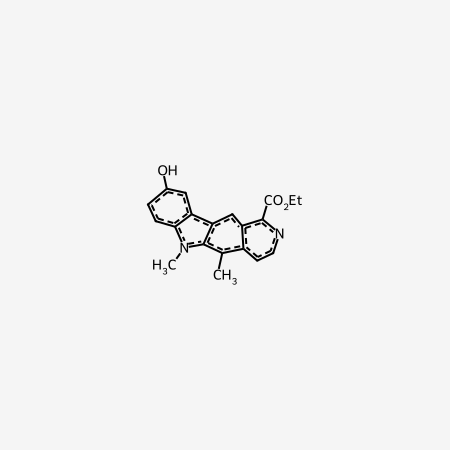 CCOC(=O)c1nccc2c(C)c3c(cc12)c1cc(O)ccc1n3C